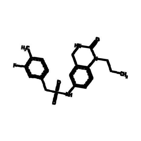 CCCN1C(=O)NCc2cc(NS(=O)(=O)Cc3ccc(C)c(F)c3)ccc21